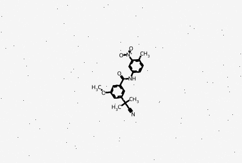 COc1cc(C(=O)Nc2ccc(C)c([N+](=O)[O-])c2)cc(C(C)(C)C#N)c1